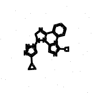 Clc1ncc2n1-c1ccccc1C1=NCN(n3cc(C4CC4)nn3)N12